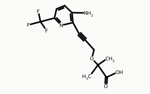 CC(C)(OCC#Cc1nc(C(F)(F)F)ccc1N)C(=O)O